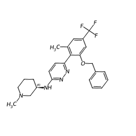 Cc1cc(C(F)(F)F)cc(OCc2ccccc2)c1-c1ccc(N[C@@H]2CCCN(C)C2)nn1